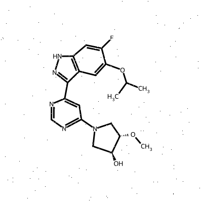 CO[C@H]1CN(c2cc(-c3n[nH]c4cc(F)c(OC(C)C)cc34)ncn2)C[C@@H]1O